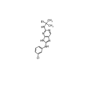 CCC(C)(C)Nc1ncc2nc(Nc3cccc(Cl)c3)[nH]c2n1